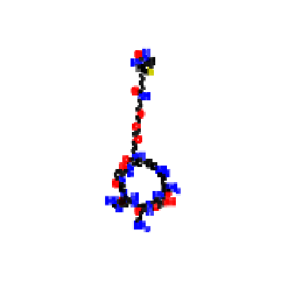 C[C@H](O)[C@@H]1NC(=O)[C@@H](N)Cc2cn(nn2)CCCC[C@@H](C(=O)NCCCOCCOCCOCCCNC(=O)CCCC[C@H]2SC[C@H]3NC(=O)N[C@H]32)NC(=O)C2CCCN2C(=O)CNC(=O)[C@H](Cc2c[nH]cn2)NC(=O)[C@H](CCCCN)NC1=O